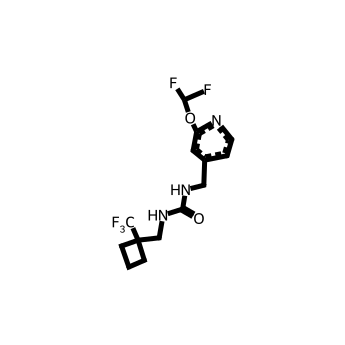 O=C(NCc1ccnc(OC(F)F)c1)NCC1(C(F)(F)F)CCC1